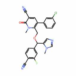 Cn1cncc1C(OCc1c(-c2cccc(Cl)c2)cc(C#N)c(=O)n1C)c1ccc(C#N)c(F)c1